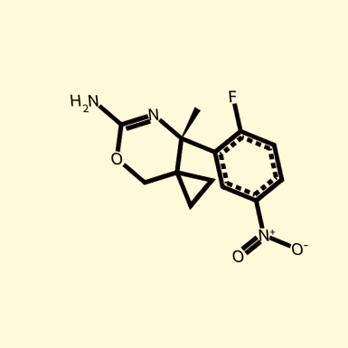 C[C@]1(c2cc([N+](=O)[O-])ccc2F)N=C(N)OCC12CC2